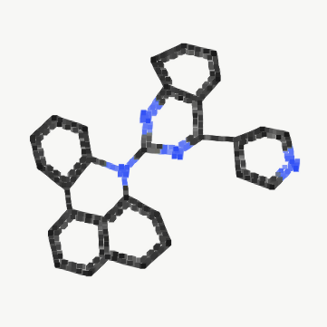 c1ccc2c(c1)-c1cccc3cccc(c13)N2c1nc(-c2ccncc2)c2ccccc2n1